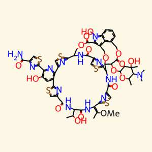 CO/C(C)=C1/NC(=O)C(C(C)O)NC(=O)c2csc(n2)-c2cc(O)c(-c3nc(C(N)=O)cs3)nc2-c2csc(n2)C2COC(=O)c3c4c5c(cccc5n3O)COC(=O)C(OC3CC(C)(O)C(N(C)C)C(C)O3)C(OC4)C(NC(=O)c3csc1n3)c1nc(cs1)C(=O)N2